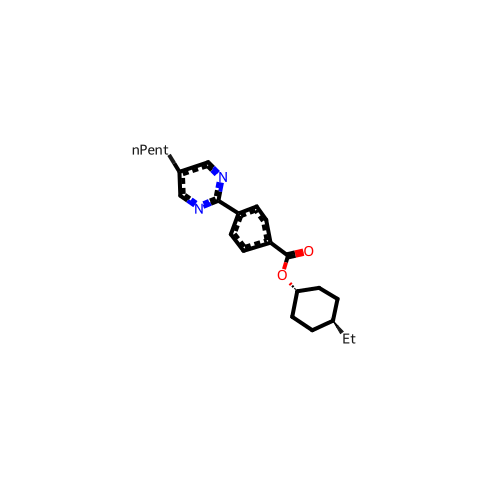 CCCCCc1cnc(-c2ccc(C(=O)O[C@H]3CC[C@H](CC)CC3)cc2)nc1